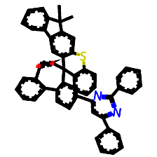 CC1(C)c2ccccc2-c2cc3c(cc21)Sc1ccccc1C31c2ccccc2-c2ccccc2-c2ccc(-c3cc(-c4ccccc4)nc(-c4ccccc4)n3)cc21